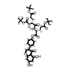 CC(C)(C)OC(=O)CC[C@@H](NC(=O)OC(C)(C)C)C(=O)N[C@H](CCC(=O)OC(C)(C)C)C(=O)Oc1ccc(-c2coc3cc(O)cc(O)c3c2=O)cc1